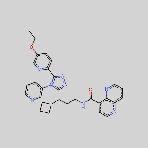 CCOc1ccc(-c2nnc(C(CCNC(=O)c3ccnc4cccnc34)C3CCC3)n2-c2cccnc2)nc1